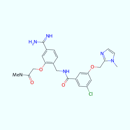 CNC(=O)COc1cc(C(=N)N)ccc1CNC(=O)c1cc(Cl)cc(OCc2nccn2C)c1